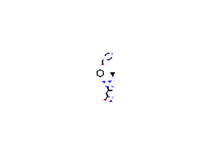 CN1CCN(CC(=O)N[C@H]2CC[C@H](Nc3nc(NC4CC4)n4ncc(/C=C5\NC(=O)NC5=O)c4n3)CC2)CC1